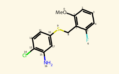 COc1cccc(F)c1CSc1ccc(Cl)c(N)c1